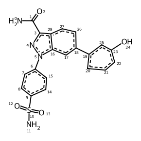 NC(=O)c1nn(-c2ccc(S(N)(=O)=O)cc2)c2cc(-c3cccc(O)c3)ccc12